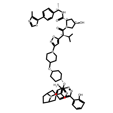 Cc1ncsc1-c1ccc([C@H](C)NC(=O)[C@@H]2C[C@@H](O)CN2C(=O)[C@H](c2cc(N3CCC(O[C@H]4CC[C@@H](Oc5cc(N6C7CCC6CN(c6cc(-c8ccccc8O)nnc6N)C7)ccn5)CC4)CC3)no2)C(C)C)cc1